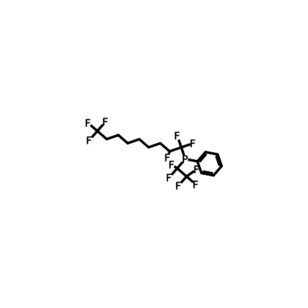 FC(CCCCCCC(F)(F)F)C(F)(F)P(c1ccccc1)C(F)(F)C(F)(F)F